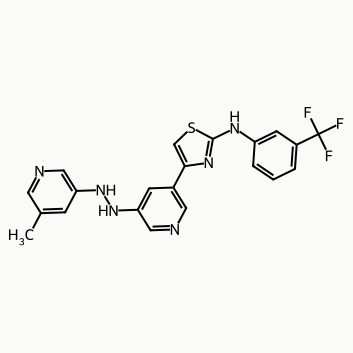 Cc1cncc(NNc2cncc(-c3csc(Nc4cccc(C(F)(F)F)c4)n3)c2)c1